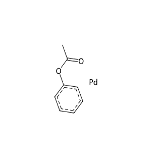 CC(=O)Oc1ccccc1.[Pd]